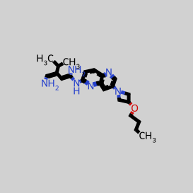 CCCCOC1CN(c2cnc3ccc(N/C(N)=C/C(=C\N)C(C)C)nc3c2)C1